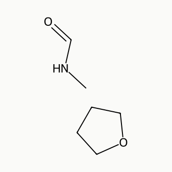 C1CCOC1.CNC=O